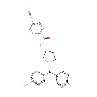 N#Cc1ccc(C(=O)N[C@@H]2CCN(C(c3ccc(Cl)cc3)c3ccc(Cl)cc3)C2)cc1